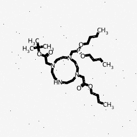 CCCCOC(=O)CN1CCNCCN(CC(=O)OC(C)(C)C)CCN(CP(OCCCC)OCCCC)CC1